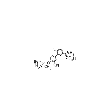 CC(C)C[C@](C)(N)COc1ccc(-c2cc(N(C)C(=O)O)ncc2F)cc1C#N